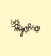 COc1ccccc1C(C)CC(=O)Nc1sc2c(c1C#N)CCN(C(=O)CCc1cccnc1)C2